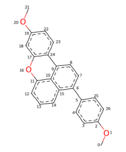 COc1ccc(-c2ccc3c4c(cccc24)Oc2cc(OC)ccc2-3)cc1